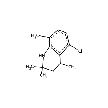 Cc1ccc(Cl)c2c1NC(C)(C)CC2C